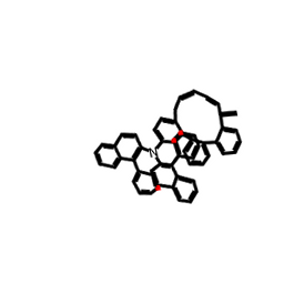 C=C1/C=C\C=C/Cc2ccc(N(c3ccc4ccccc4c3-c3ccccc3)c3ccc4ccccc4c3-c3ccccc3)cc2-c2ccccc2-c2ccccc21